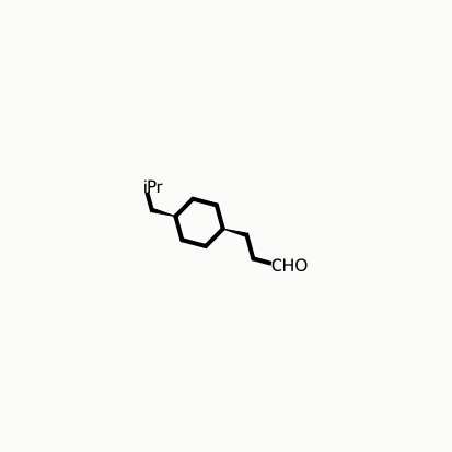 CC(C)C[C@H]1CC[C@@H](CCC=O)CC1